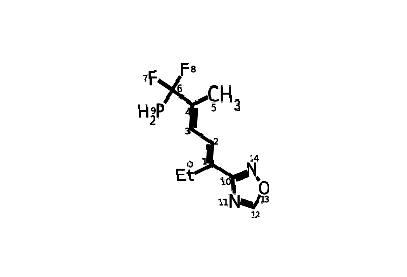 CC/C(=C\C=C(/C)C(F)(F)P)c1ncon1